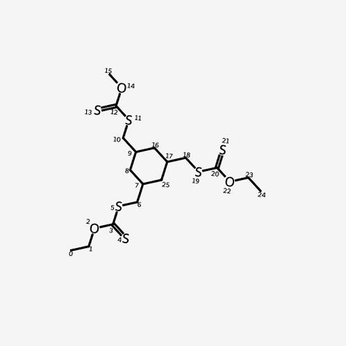 CCOC(=S)SCC1CC(CSC(=S)OC)CC(CSC(=S)OCC)C1